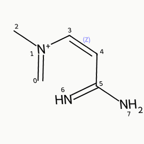 C=[N+](C)/C=C\C(=N)N